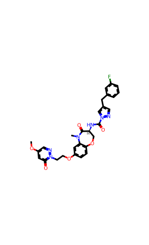 COc1cnn(CCOc2ccc3c(c2)N(C)C(=O)[C@@H](NC(=O)n2cc(Cc4cccc(F)c4)cn2)CO3)c(=O)c1